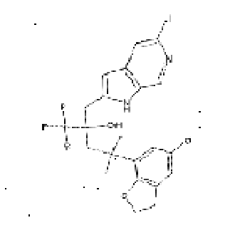 CC(C)(CC(O)(Cc1cc2cc(Cl)ncc2[nH]1)C(F)(F)F)c1cc(Cl)cc2c1OCC2